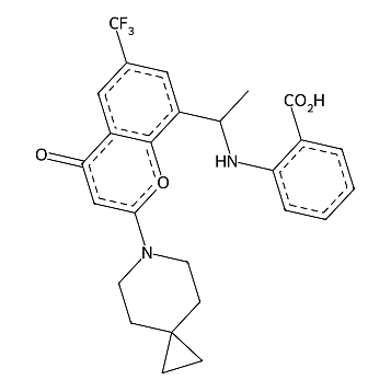 CC(Nc1ccccc1C(=O)O)c1cc(C(F)(F)F)cc2c(=O)cc(N3CCC4(CC3)CC4)oc12